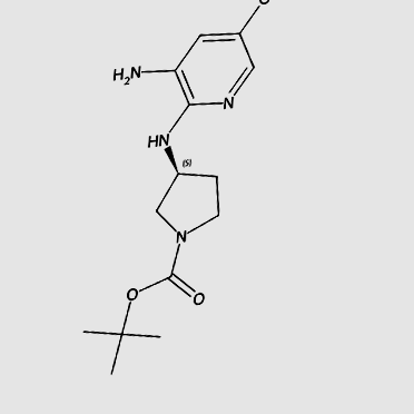 COc1cnc(N[C@H]2CCN(C(=O)OC(C)(C)C)C2)c(N)c1